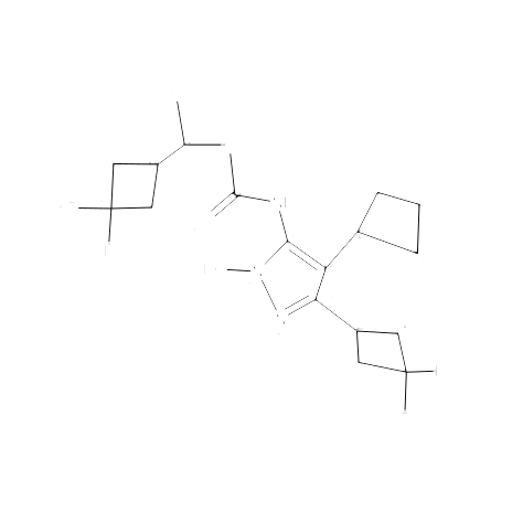 CC(OC(=O)Nc1c(C2CCC2)c(C2CC(F)(F)C2)nn1C)C1CC(F)(F)C1